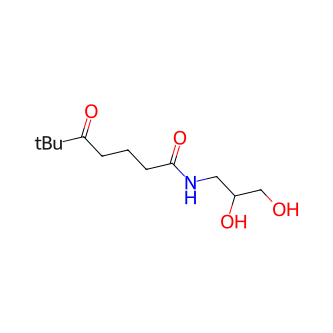 CC(C)(C)C(=O)CCCC(=O)NCC(O)CO